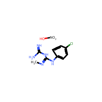 CN=C(NC(=N)N)Nc1ccc(Cl)cc1.O=[N+]([O-])O